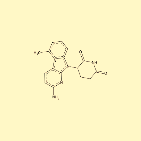 Cc1cccc2c1c1ccc(N)nc1n2C1CCC(=O)NC1=O